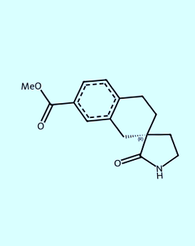 COC(=O)c1ccc2c(c1)C[C@@]1(CCNC1=O)CC2